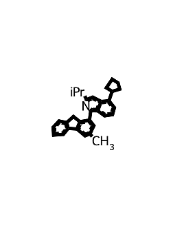 Cc1cc2c(c(-c3nc(C(C)C)cc4c(C5CCCC5)cccc34)c1)Cc1ccccc1-2